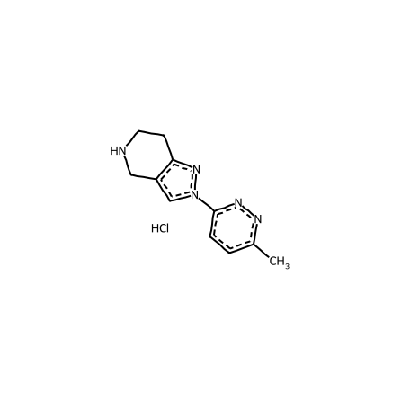 Cc1ccc(-n2cc3c(n2)CCNC3)nn1.Cl